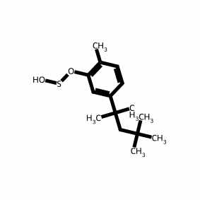 Cc1ccc(C(C)(C)CC(C)(C)C)cc1OSO